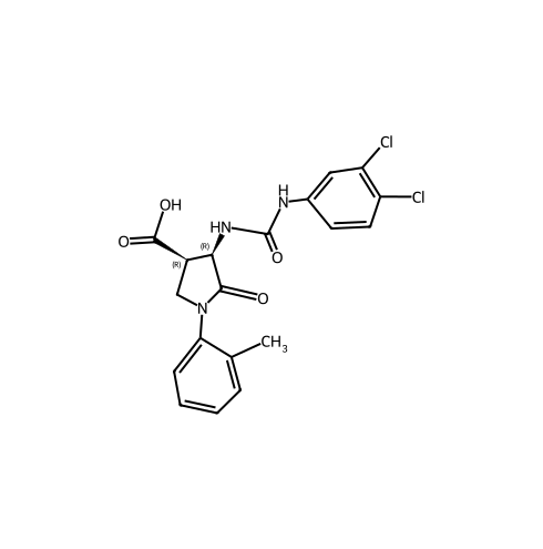 Cc1ccccc1N1C[C@@H](C(=O)O)[C@@H](NC(=O)Nc2ccc(Cl)c(Cl)c2)C1=O